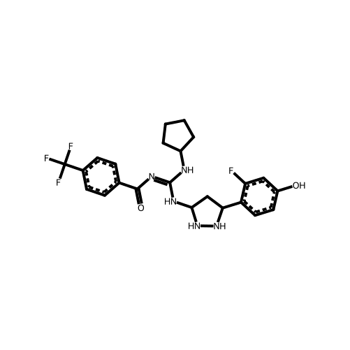 O=C(/N=C(/NC1CCCC1)NC1CC(c2ccc(O)cc2F)NN1)c1ccc(C(F)(F)F)cc1